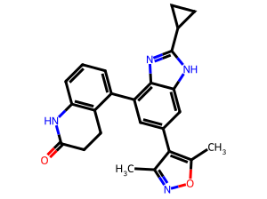 Cc1noc(C)c1-c1cc(-c2cccc3c2CCC(=O)N3)c2nc(C3CC3)[nH]c2c1